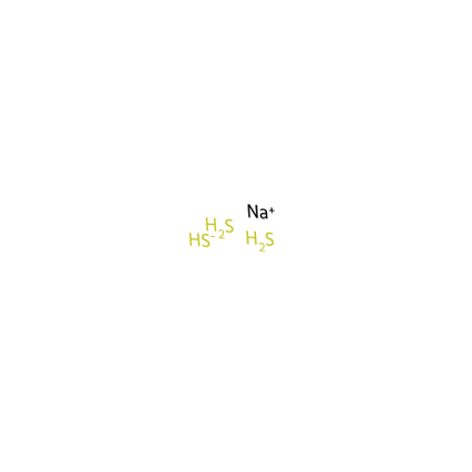 S.S.[Na+].[SH-]